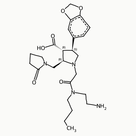 CCCCN(CCN)C(=O)CN1C[C@H](c2ccc3c(c2)OCO3)[C@@H](C(=O)O)[C@@H]1CN1CCCC1=O